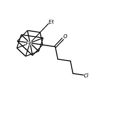 CC[C]12[CH]3[CH]4[CH]5[C]1(C(=O)CCCCl)[Fe]43521678[CH]2[CH]1[CH]6[CH]7[CH]28